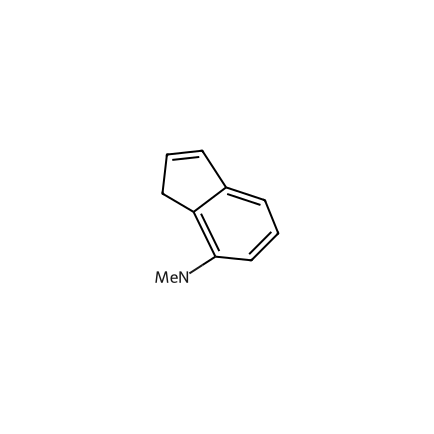 CNc1cccc2c1CC=C2